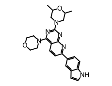 CC1CN(c2nc(N3CCOCC3)c3ccc(-c4ccc5[nH]ccc5c4)nc3n2)CC(C)O1